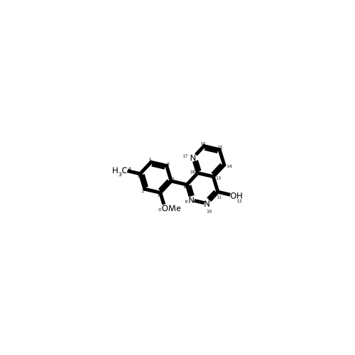 COc1cc(C)ccc1-c1nnc(O)c2cccnc12